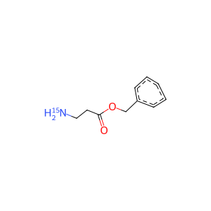 [15NH2]CCC(=O)OCc1ccccc1